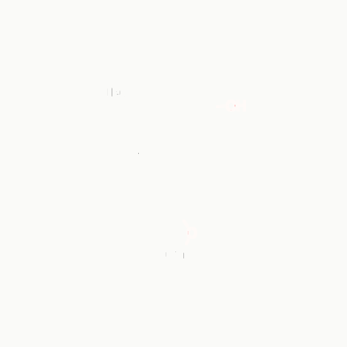 CC(C(c1ccc(O)cc1)C(C)(C)C)C(C)(C)c1ccc(OC(C)(C)C)cc1